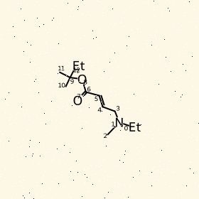 CCN(C)C/C=C/C(=O)OC(C)(C)CC